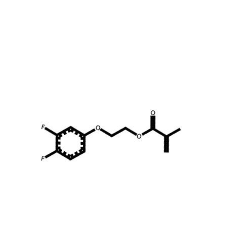 C=C(C)C(=O)OCCOc1ccc(F)c(F)c1